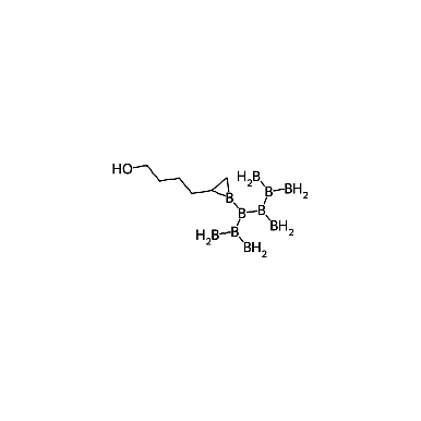 BB(B)B(B)B(B(B)B)B1CC1CCCCO